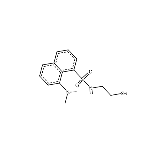 CN(C)c1cccc2cccc(S(=O)(=O)NCCS)c12